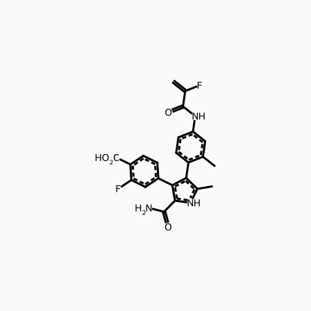 C=C(F)C(=O)Nc1ccc(-c2c(C)[nH]c(C(N)=O)c2-c2ccc(C(=O)O)c(F)c2)c(C)c1